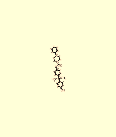 CC(C)(c1ccc(O)cc1)c1ccc(OC(=O)N2CCC(c3ccccc3)CC2)cc1